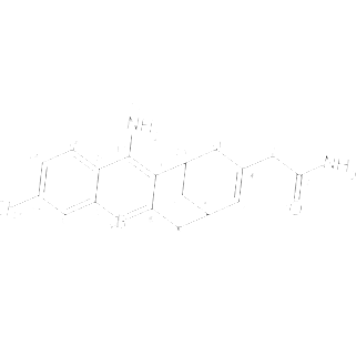 NC(=O)CC1=CC2Cc3bc4cc(Cl)ccc4c(N)c3C(C1)C2